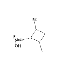 CCC1CC(C)C1NC.CCO